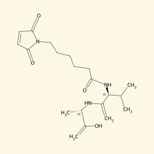 C=C(O)[C@H](C)NC(=C)[C@@H](NC(=O)CCCCCN1C(=O)C=CC1=O)C(C)C